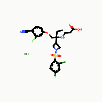 CCC(COc1ccc(C#N)c(F)c1)(NCCC(=O)O)C1CN(S(=O)(=O)c2ccc(Cl)cc2Cl)C1.Cl